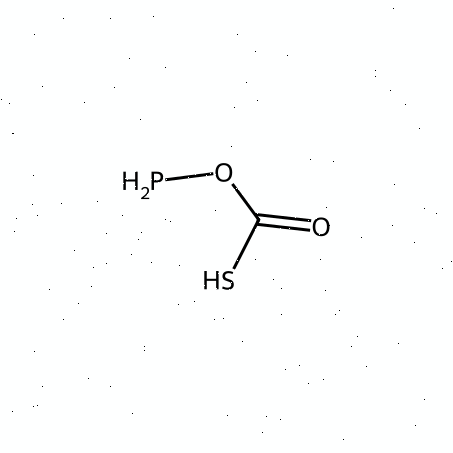 O=C(S)OP